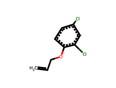 C=CCOc1ccc(Cl)[c]c1Cl